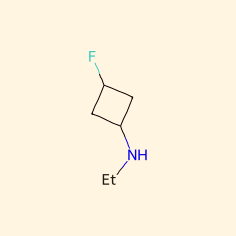 CCNC1CC(F)C1